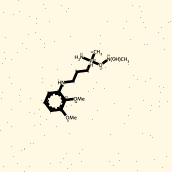 COc1cccc(NCCC[PH](C)(N)ON(C)O)c1OC